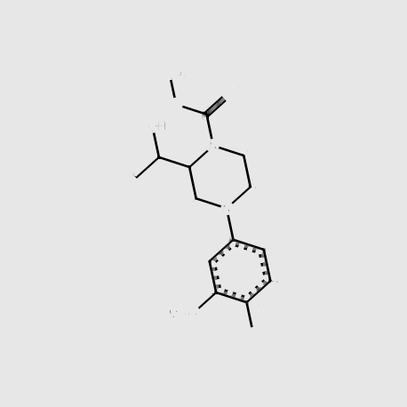 COc1cc(N2CCN(C(=O)OC(C)(C)C)C(C(C)O)C2)ccc1Cl